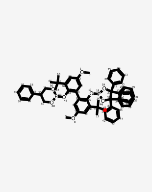 COc1cc(-c2cc(OC)cc(C(C)(C)C)c2OP2OC(c3ccccc3)(c3ccccc3)C(c3ccccc3)(c3ccccc3)O2)c(OP2OCC(c3ccccc3)CO2)c(C(C)(C)C)c1